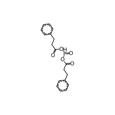 O=C(CCc1ccccc1)O[PH](=O)OC(=O)CCc1ccccc1